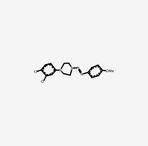 COc1ccc(/N=N/N2CCN(c3ccc(Cl)c(Cl)c3)CC2)cc1